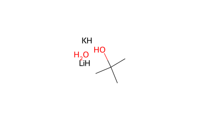 CC(C)(C)O.O.[KH].[LiH]